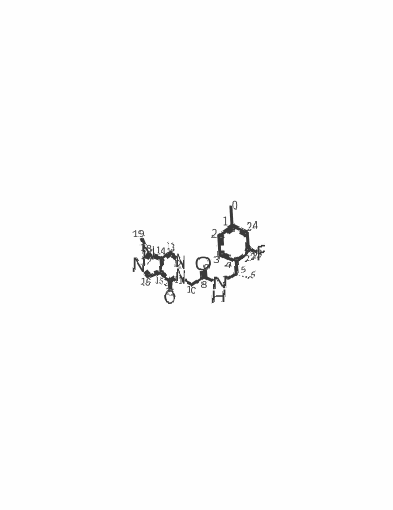 Cc1ccc([C@H](C)NC(=O)Cn2ncc3c(cnn3C)c2=O)c(F)c1